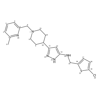 Cc1cccc(CN2CCC(c3cc(NCc4ccc(Cl)s4)[nH]n3)CC2)n1